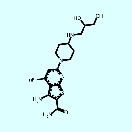 CCCc1cc(N2CCC(NCC(O)CO)CC2)nc2sc(C(N)=O)c(N)c12